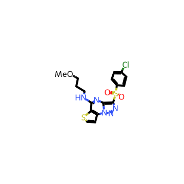 COCCCNc1nc2c(S(=O)(=O)c3ccc(Cl)cc3)nnn2c2ccsc12